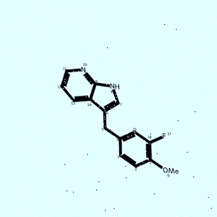 COc1ccc(Cc2c[nH]c3ncccc23)cc1F